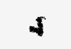 Cn1ncc2cc(-c3ccc(C4=NC5(CCOCC5)C(=O)N4C[C@@H]4CCN(C(=O)C(F)(F)F)C4)cc3)ccc21